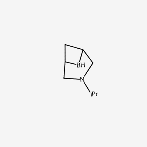 CC(C)N1CC2BC(C2)C1